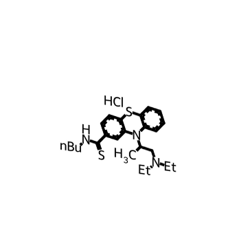 CCCCNC(=S)c1ccc2c(c1)N(C(C)CN(CC)CC)c1ccccc1S2.Cl